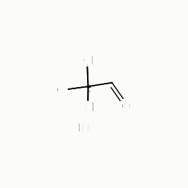 O=CC(Cl)(Cl)Cl.[HH]